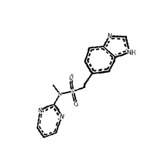 CN(c1ncccn1)S(=O)(=O)Cc1ccc2nc[nH]c2c1